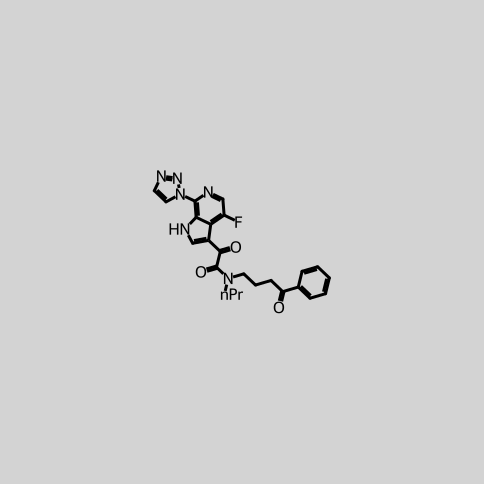 CCCN(CCCC(=O)c1ccccc1)C(=O)C(=O)c1c[nH]c2c(-n3ccnn3)ncc(F)c12